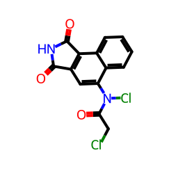 O=C1NC(=O)c2c1cc(N(Cl)C(=O)CCl)c1ccccc21